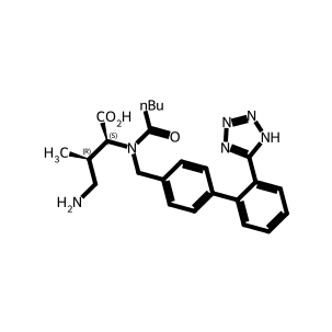 CCCCC(=O)N(Cc1ccc(-c2ccccc2-c2nnn[nH]2)cc1)[C@H](C(=O)O)[C@H](C)CN